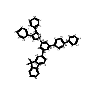 CC1(C)c2ccccc2-c2ccc(-c3cc(-c4ccc(-c5ccccc5)cc4)cc(-n4cc(-c5ccccc5)c(-c5ccccc5)n4)c3)cc21